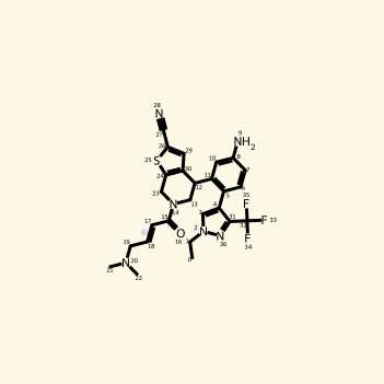 CCn1cc(-c2ccc(N)cc2C2CN(C(=O)/C=C/CN(C)C)Cc3sc(C#N)cc32)c(C(F)(F)F)n1